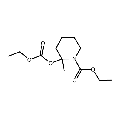 CCOC(=O)OC1(C)CCCCN1C(=O)OCC